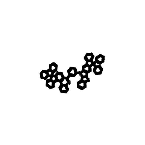 c1ccc(C2(c3ccccc3)c3ccccc3-c3cc4c(cc32)c2sc3ccccc3c2n4-c2cccc(-c3nc4ccccc4c4c5c(ccc34)C3(c4ccccc4-c4ccccc43)c3ccccc3-5)c2)cc1